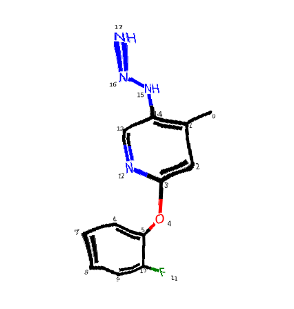 Cc1cc(Oc2ccccc2F)ncc1NN=N